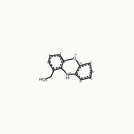 OCc1cccc2c1Nc1ccccc1O2